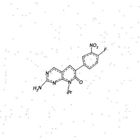 CC(C)n1c(=O)c(-c2ccc(F)c([N+](=O)[O-])c2)cc2cnc(N)nc21